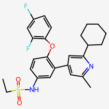 CCS(=O)(=O)Nc1ccc(Oc2ccc(F)cc2F)c(-c2cc(C)nc(C3CCCCC3)c2)c1